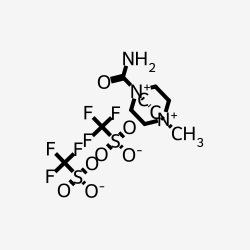 C[N+]12CC[N+](C(N)=O)(CC1)CC2.O=S(=O)([O-])C(F)(F)F.O=S(=O)([O-])C(F)(F)F